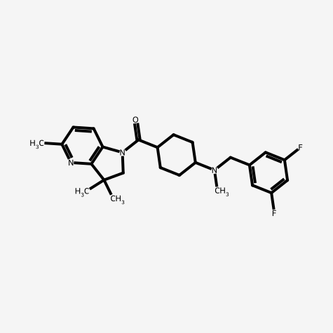 Cc1ccc2c(n1)C(C)(C)CN2C(=O)C1CCC(N(C)Cc2cc(F)cc(F)c2)CC1